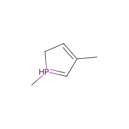 CC1=CC[PH](C)=C1